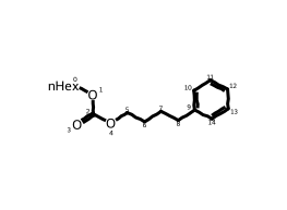 CCCCCCOC(=O)OCCCCc1ccccc1